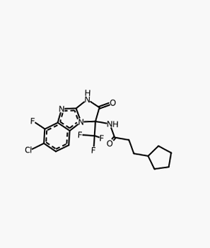 O=C(CCC1CCCC1)NC1(C(F)(F)F)C(=O)Nc2nc3c(F)c(Cl)ccc3n21